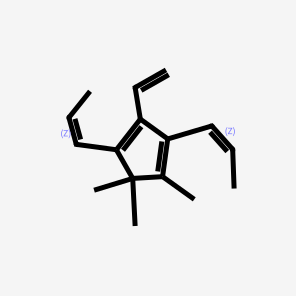 C=CC1=C(/C=C\C)C(C)(C)C(C)=C1/C=C\C